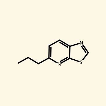 CCCc1ccc2ncsc2n1